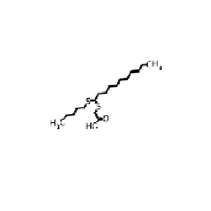 CC/C=C/CCCCCCC(SCCCCC)SCC(=O)O